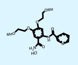 COCCOc1cc(NC(=O)c2cccnc2)c(C(N)=O)cc1OCCOC.Cl